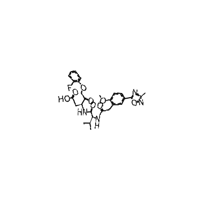 COc1ccc(-c2nc(C)no2)cc1CC(=O)N[C@H](C(=O)N[C@@H](CC(=O)O)C(=O)COc1ccccc1F)C(C)C